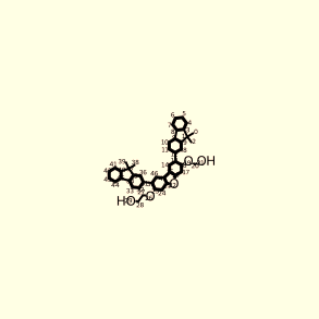 CC1(C)c2ccccc2-c2ccc(-c3cc4c(cc3OCO)oc3cc(OCCO)c(-c5ccc6c(c5)C(C)(C)c5ccccc5-6)cc34)cc21